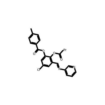 Cc1ccc(C(=O)Oc2cc(Cl)cc(C=Nc3cccnc3)c2OC(=O)C(C)C)cc1